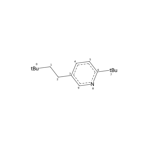 CC(C)(C)CCc1ccc(C(C)(C)C)nc1